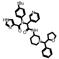 CC(C)(C)c1ccc(N(C(=O)c2c[nH]cn2)C(C(=O)NC2CCCN(C(c3ccccc3)C3CCCO3)C2)c2cccnc2)cc1